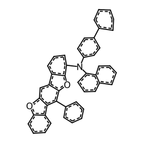 c1ccc(-c2ccc(N(c3cccc4ccccc34)c3cccc4c3oc3c(-c5ccccc5)c5c(cc34)oc3ccccc35)cc2)cc1